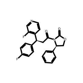 O=C(C[C@@H](c1ccc(F)cc1)c1ccncc1F)N1C(=O)OC[C@H]1c1ccccc1